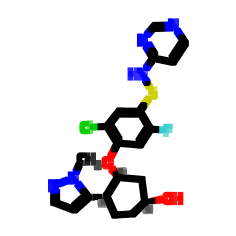 Cn1nccc1[C@H]1CC[C@H](O)C[C@@H]1Oc1cc(F)c(SNc2ccncn2)cc1Cl